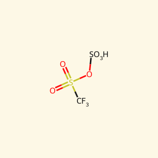 O=S(=O)(O)OS(=O)(=O)C(F)(F)F